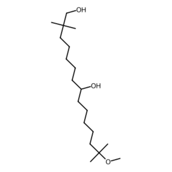 COC(C)(C)CCCCCC(O)CCCCCC(C)(C)CO